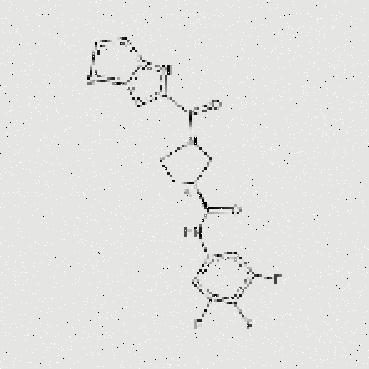 O=C(Nc1cc(F)c(F)c(F)c1)[C@H]1CCN(C(=O)c2cc3sccc3[nH]2)C1